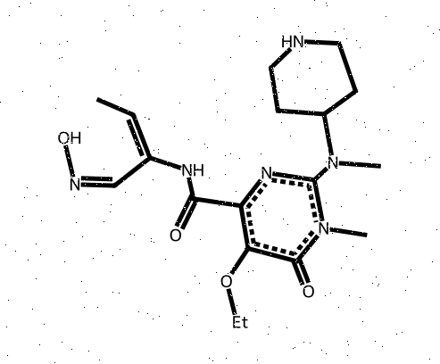 C/C=C(\C=N/O)NC(=O)c1nc(N(C)C2CCNCC2)n(C)c(=O)c1OCC